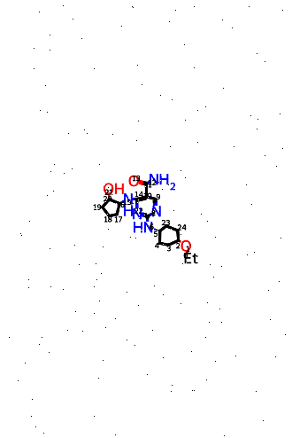 CCO[C@H]1CC[C@H](Nc2ncc(C(N)=O)c(N[C@H]3CCC[C@H]3O)n2)CC1